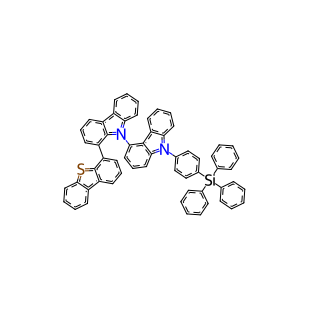 c1ccc([Si](c2ccccc2)(c2ccccc2)c2ccc(-n3c4ccccc4c4c(-n5c6ccccc6c6cccc(-c7cccc8c7sc7ccccc78)c65)cccc43)cc2)cc1